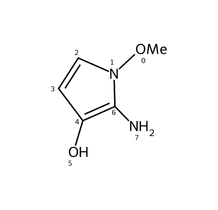 COn1ccc(O)c1N